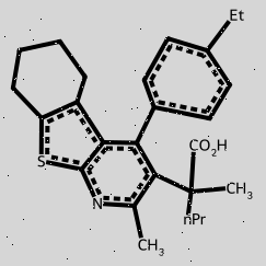 CCCC(C)(C(=O)O)c1c(C)nc2sc3c(c2c1-c1ccc(CC)cc1)CCCC3